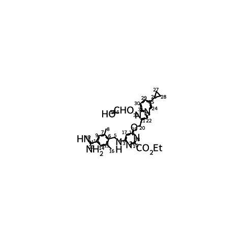 CCOC(=O)c1nc(NCc2c(C)cc(C(=N)N)cc2C)cc(OCc2cn3cc(C4CC4)ccc3n2)n1.O=CO